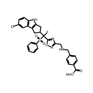 COC(=O)c1ccc(CNCc2noc(C(F)(C3Cc4[nH]c5ccc(Cl)cc5c4C3)S(=O)(=O)c3ccccc3)n2)cc1